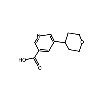 O=C(O)c1cncc(C2CCOCC2)c1